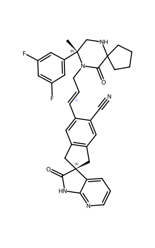 C[C@@]1(c2cc(F)cc(F)c2)CNC2(CCCC2)C(=O)N1C/C=C/c1cc2c(cc1C#N)C[C@]1(C2)C(=O)Nc2ncccc21